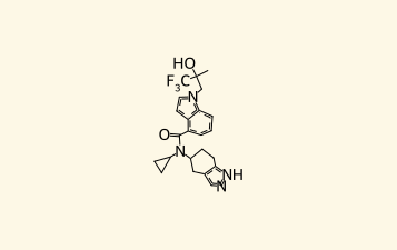 CC(O)(Cn1ccc2c(C(=O)N(C3CC3)C3CCc4[nH]ncc4C3)cccc21)C(F)(F)F